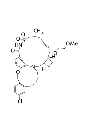 COCCO[C@H]1/C=C/C[C@@H](C)CS(=O)(=O)NC(=O)c2ccc3c(c2)N(CCCCc2cc(Cl)ccc2CO3)C[C@@H]2CC[C@H]21